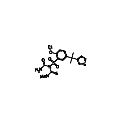 CCOc1ccc(C(C)(C)c2ccsc2)cc1S(=O)(=O)N(C(N)=O)C(=S)NC